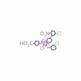 O=C(O)c1ccc(NC(=O)[C@@H](Cc2cccc(Cl)c2)n2ccc(-c3cc(Cl)ccc3[N+](=O)[O-])cc2=O)cc1